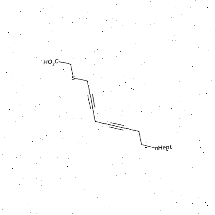 CCCCCCCCCC#CCC#CCSCC(=O)O